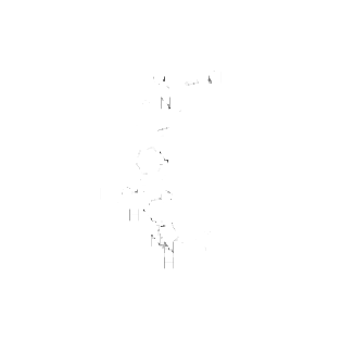 CC#CC(=O)N1CC=C(c2ccc(C(C)C(=O)Nc3cc(C4CC4)[nH]n3)cn2)CC1